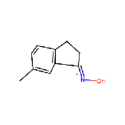 Cc1ccc2c(c1)/C(=N/O)CC2